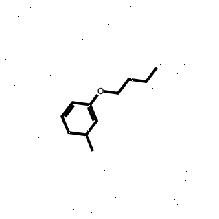 CCCCOC1=CC(C)CC=C1